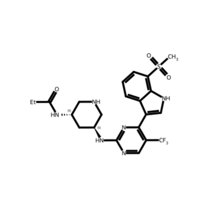 CCC(=O)N[C@@H]1CNC[C@@H](Nc2ncc(C(F)(F)F)c(-c3c[nH]c4c(S(C)(=O)=O)cccc34)n2)C1